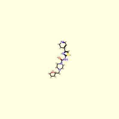 O=C(Nc1nc(C2=CC=NCC2)cs1)N1CCN(CC2CCCO2)CC1